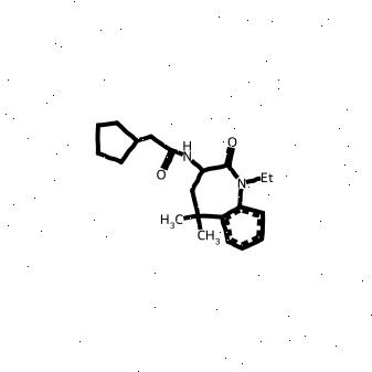 CCN1C(=O)C(NC(=O)CC2CCCC2)CC(C)(C)c2ccccc21